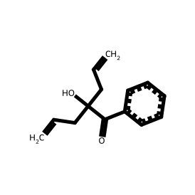 C=CCC(O)(CC=C)C(=O)c1ccccc1